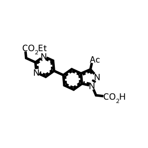 CCOC(=O)Cc1ncc(-c2ccc3c(c2)c(C(C)=O)nn3CC(=O)O)cn1